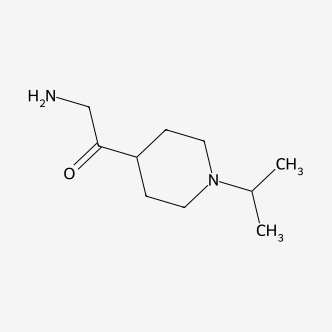 CC(C)N1CCC(C(=O)CN)CC1